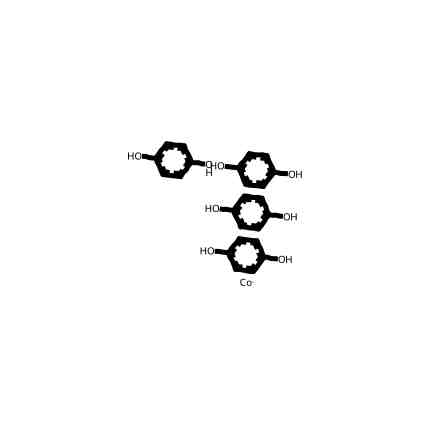 Oc1ccc(O)cc1.Oc1ccc(O)cc1.Oc1ccc(O)cc1.Oc1ccc(O)cc1.[Co]